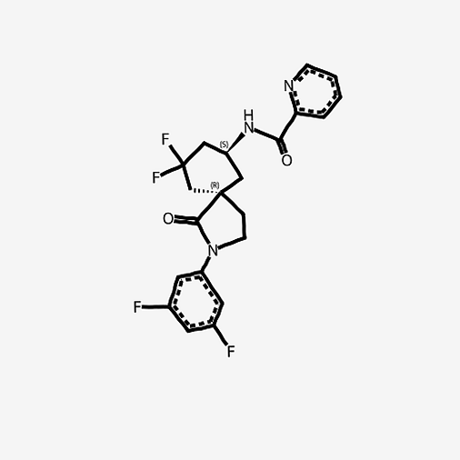 O=C(N[C@@H]1CC(F)(F)C[C@@]2(CCN(c3cc(F)cc(F)c3)C2=O)C1)c1ccccn1